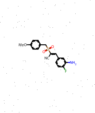 COc1ccc(CS(=O)(=O)/C(C#N)=C/c2ccc(F)c(N)c2)cc1